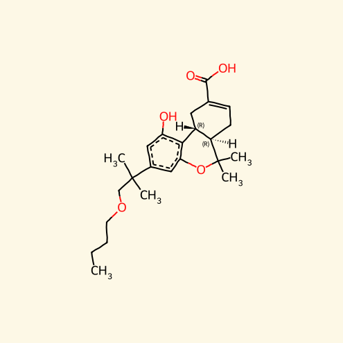 CCCCOCC(C)(C)c1cc(O)c2c(c1)OC(C)(C)[C@@H]1CC=C(C(=O)O)C[C@@H]21